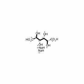 O=C(O)[C@@H](O)[C@@H](O)[C@H](O)[C@@H](O)C(=O)O.[NaH].[NaH]